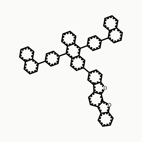 c1ccc2c(-c3ccc(-c4c5ccccc5c(-c5ccc(-c6cccc7ccccc67)cc5)c5cc(-c6ccc7oc8c(ccc9c%10ccccc%10oc98)c7c6)ccc45)cc3)cccc2c1